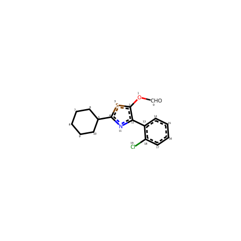 O=COc1sc(C2CCCCC2)nc1-c1ccccc1Cl